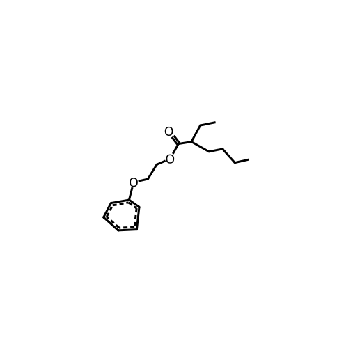 CCCCC(CC)C(=O)OCCOc1ccccc1